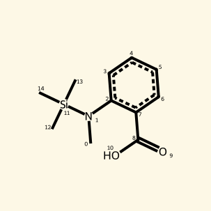 CN(c1ccccc1C(=O)O)[Si](C)(C)C